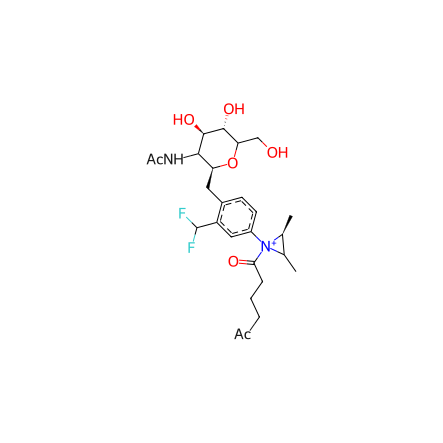 CC(=O)CCCC(=O)[N+]1(c2ccc(C[C@@H]3OC(CO)[C@@H](O)[C@H](O)C3NC(C)=O)c(C(F)F)c2)C(C)[C@@H]1C